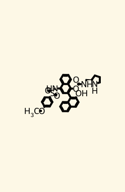 COc1ccc(S(=O)(=O)Nc2cc(-c3c(O)ccc4ccccc34)c(OC(=O)NC[C@H]3CCCN3)c3ccccc23)cc1